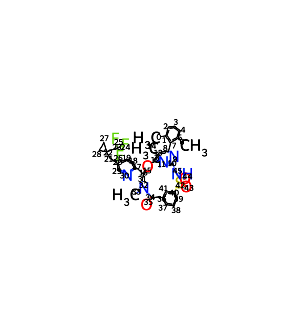 Cc1cccc(C)c1-c1nc2nc(c1C)OC(c1ccc(CC3(C(F)(F)F)CC3)cn1)CN(C)C(=O)c1cccc(c1)S(=O)(=O)N2